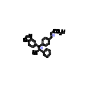 CC/C(=C(/c1ccc(/C=C/C(=O)O)cc1)c1ccc2ocnc2c1)c1ccccc1